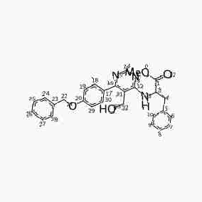 COC(=O)C(Cc1ccccc1)Nc1ncnc(-c2ccc(OCc3ccccc3)cc2)c1CO